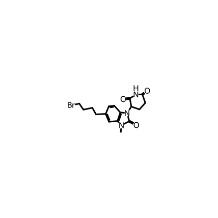 Cn1c(=O)n(C2CCC(=O)NC2=O)c2ccc(CCCCBr)cc21